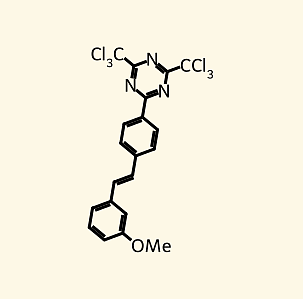 COc1cccc(C=Cc2ccc(-c3nc(C(Cl)(Cl)Cl)nc(C(Cl)(Cl)Cl)n3)cc2)c1